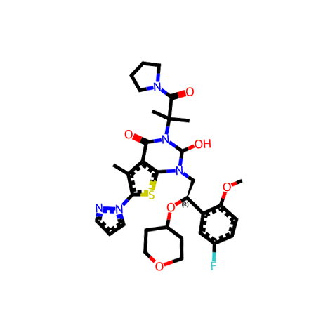 COc1ccc(F)cc1[C@H](CN1c2sc(-n3cccn3)c(C)c2C(=O)N(C(C)(C)C(=O)N2CCCC2)C1O)OC1CCOCC1